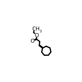 CCOC(=O)CC=C1CCCCCC1